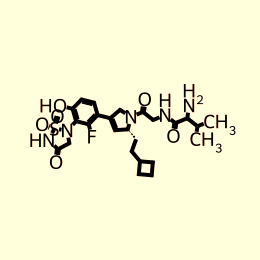 CC(C)C(N)C(=O)NCC(=O)N1CC(c2ccc(O)c(N3CC(=O)NS3(=O)=O)c2F)=C[C@H]1CCC1CCC1